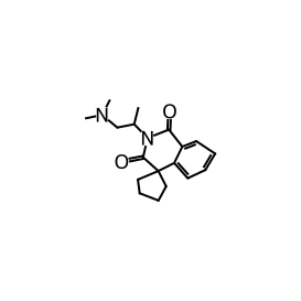 CC(CN(C)C)N1C(=O)c2ccccc2C2(CCCC2)C1=O